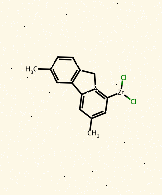 Cc1ccc2c(c1)-c1cc(C)c[c]([Zr]([Cl])[Cl])c1C2